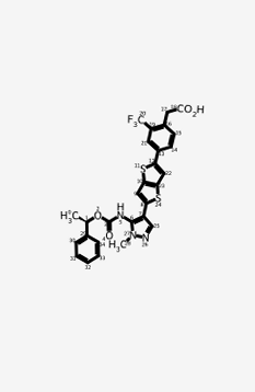 C[C@@H](OC(=O)Nc1c(-c2cc3sc(-c4ccc(CC(=O)O)c(C(F)(F)F)c4)cc3s2)cnn1C)c1ccccc1